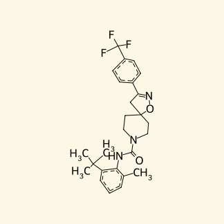 Cc1cccc(C(C)(C)C)c1NC(=O)N1CCC2(CC1)CC(c1ccc(C(F)(F)F)cc1)=NO2